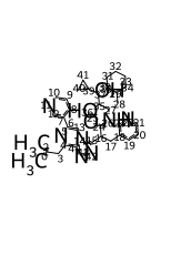 CC(C)Cc1nc(-c2cccnc2)cn2c(C(Cc3cccnc3)C(=O)N[C@@H](CC3CCCCC3)[C@@H](O)[C@@H](O)C3CC3)nnc12